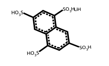 O=S(=O)(O)c1cc(S(=O)(=O)O)c2cc(S(=O)(=O)O)cc(S(=O)(=O)O)c2c1.[LiH]